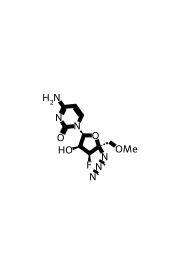 COC[C@@]1(N=[N+]=[N-])O[C@@H](n2ccc(N)nc2=O)[C@H](O)[C@@H]1F